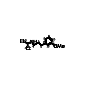 CCC(CC)NCCCc1cccc(OC)c1